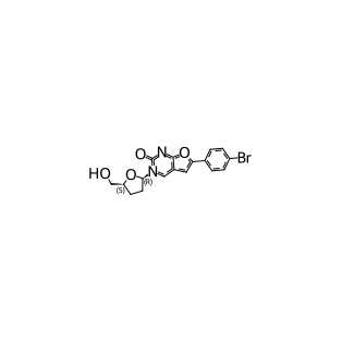 O=c1nc2oc(-c3ccc(Br)cc3)cc2cn1[C@H]1CC[C@@H](CO)O1